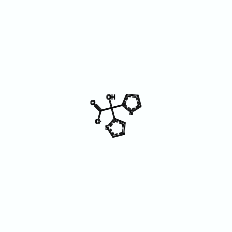 [O]C(=O)C(O)(c1cccs1)c1cccs1